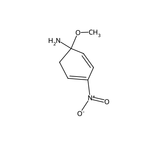 COC1(N)C=CC([N+](=O)[O-])=CC1